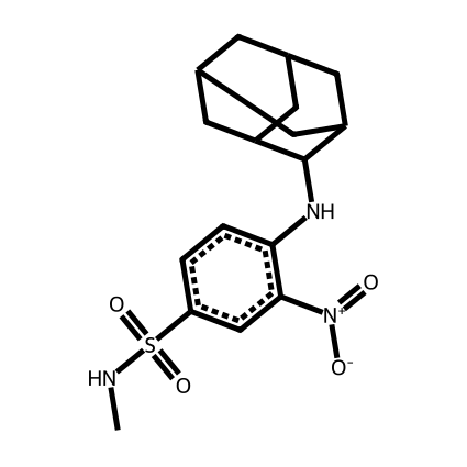 CNS(=O)(=O)c1ccc(NC2C3CC4CC(C3)CC2C4)c([N+](=O)[O-])c1